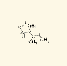 C=CC(C)C1NC=CN1